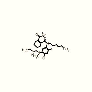 CCCCCCN(C(=O)C1=C(C(N)=O)CCCC1)c1cc(N(C)CPCC)c(Cl)cc1F